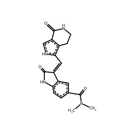 CN(C)C(=O)c1ccc2c(c1)/C(=C/c1[nH]cc3c1CCNC3=O)C(=O)N2